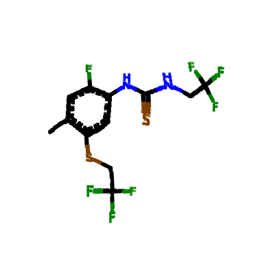 Cc1cc(F)c(NC(=S)NCC(F)(F)F)cc1SCC(F)(F)F